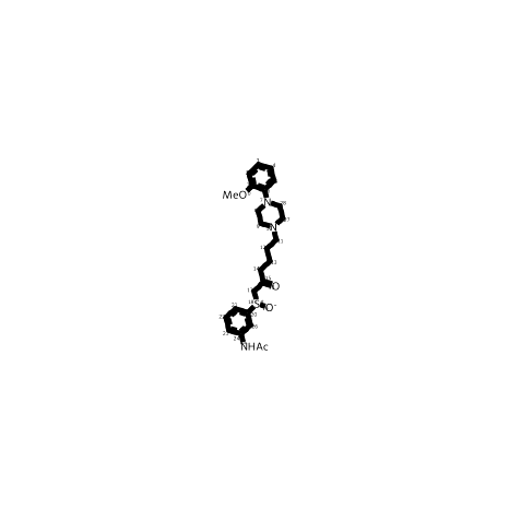 COc1ccccc1N1CCN(CCCCC(=O)C[S+]([O-])c2cccc(NC(C)=O)c2)CC1